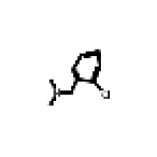 [CH2]N(C)Cc1ccccc1Cl